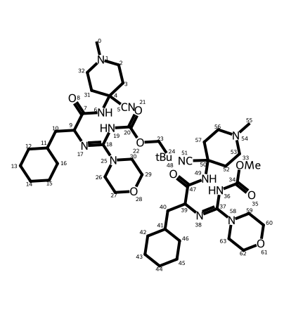 CN1CCC(C#N)(NC(=O)C(CC2CCCCC2)N=C(NC(=O)OCC(C)(C)C)N2CCOCC2)CC1.COC(=O)NC(=NC(CC1CCCCC1)C(=O)NC1(C#N)CCN(C)CC1)N1CCOCC1